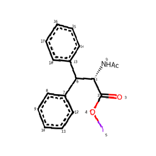 CC(=O)N[C@H](C(=O)OI)C(c1ccccc1)c1ccccc1